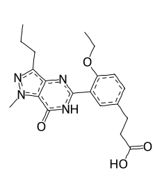 CCCc1nn(C)c2c(=O)[nH]c(-c3cc(CCC(=O)O)ccc3OCC)nc12